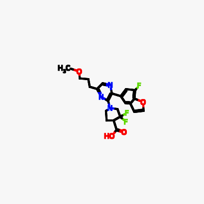 COCCCc1cnc(-c2cc(F)c3occc3c2)c(N2CCC(C(=O)O)C(F)(F)C2)n1